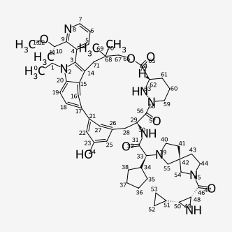 CCn1c(-c2cccnc2[C@H](C)OC)c2c3cc(ccc31)-c1cc(O)cc(c1)C[C@H](NC(=O)[C@H](C1CCCC1)N1CC[C@]3(CCN(C(=O)[C@@H]4N[C@@H]4C4CC4)C3)C1)C(=O)N1CCC[C@H](N1)C(=O)OCC(C)(C)C2